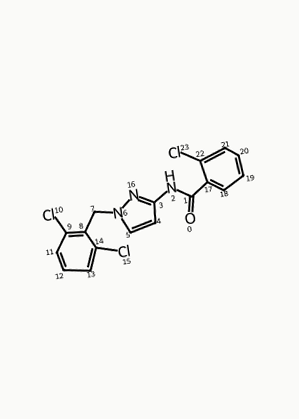 O=C(Nc1ccn(Cc2c(Cl)cccc2Cl)n1)c1ccccc1Cl